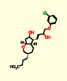 O=C(O)CCC[C@H]1CC[C@@H]2[C@@H](C=C[C@H](O)COc3cccc(Cl)c3)[C@H](O)C[C@@H]2OC1